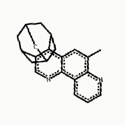 Cc1cc2c3c(cnc2c2cccnc12)C1CC2CC(C1)CC3C2